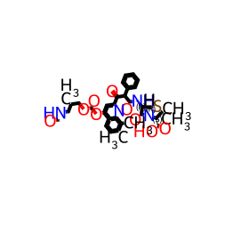 Cc1ccc2c(OC(=O)OCC(C)CNC=O)cc(C(=O)C(C(=O)N[C@@H]3C(=O)N4[C@@H]3SC(C)(C)[C@@H]4C(=O)O)c3ccccc3)nc2c1C